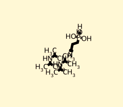 CC(C)NC(C)C.CC(C)NC(C)C.N#CCC[PH](O)(O)O